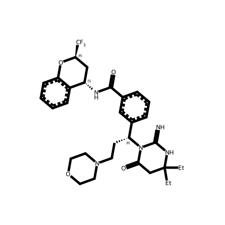 CCC1(CC)CC(=O)N([C@H](CCN2CCOCC2)c2cccc(C(=O)N[C@H]3C[C@H](C(F)(F)F)Oc4ccccc43)c2)C(=N)N1